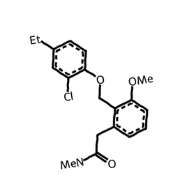 CCc1ccc(OCc2c(CC(=O)NC)cccc2OC)c(Cl)c1